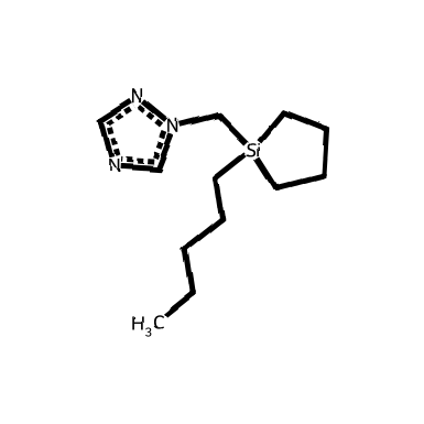 CCCCC[Si]1(Cn2cncn2)CCCC1